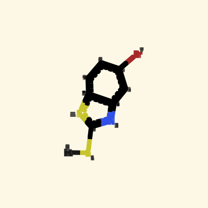 CCSc1nc2cc(Br)ccc2s1